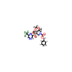 CC1(C)O[C@H]2[C@H](CN(C(=O)OCc3ccccc3)C[C@@H]2S(=O)(=O)c2cncc(C(F)(F)F)n2)O1